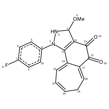 COC1NN(c2ccc(F)cc2)C2=C1C(=O)C(=O)C1=CCC=CC=C12